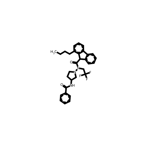 CCCCc1cccc2c1C(C(=O)N(CC(F)(F)F)N1CCC(NC(=O)c3ccccc3)C1)c1ccccc1-2